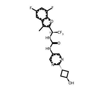 Cc1c([C@H](NC(=O)Nc2cnc([C@H]3C[C@H](O)C3)nc2)C(F)(F)F)oc2c(F)cc(F)cc12